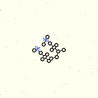 Cc1nc2ccccc2n1-c1ccc(-c2c3ccccc3c(-c3cccc4cc(-c5cccc(-c6cc(-c7ccccc7)cc(-c7c8ccccc8c(-c8ccc(-n9c(-c%10ccccc%10)nc%10ccccc%109)cc8)c8ccccc78)c6)c5)ccc34)c3ccccc23)cc1